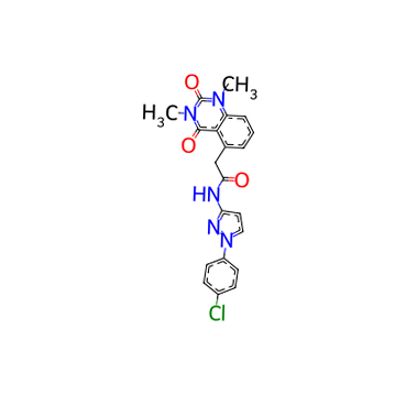 Cn1c(=O)c2c(CC(=O)Nc3ccn(-c4ccc(Cl)cc4)n3)cccc2n(C)c1=O